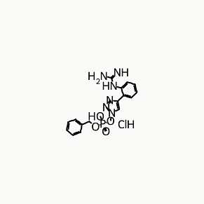 Cl.N=C(N)Nc1ccccc1-c1cn(OP(=O)(O)OCc2ccccc2)nn1